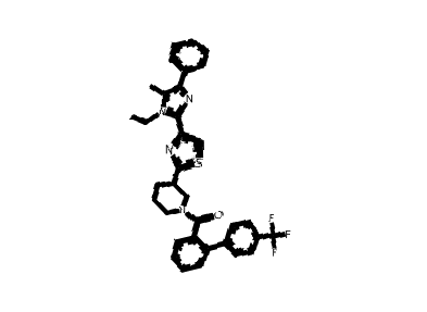 CCn1c(-c2csc(C3CCCN(C(=O)c4ccccc4-c4ccc(C(F)(F)F)cc4)C3)n2)nc(-c2ccccc2)c1C